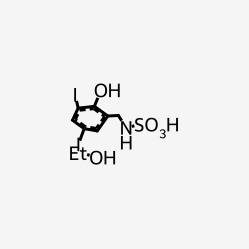 CCO.O=S(=O)(O)NCc1cc(I)cc(I)c1O